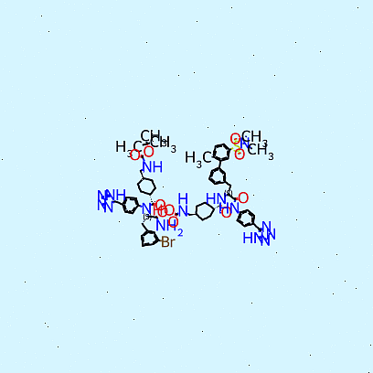 CC(C)(C)OC(=O)NC[C@H]1CC[C@H](C(=O)N(c2ccc(-c3nnn[nH]3)cc2)[C@@H](Cc2cccc(Br)c2)C(N)=O)CC1.Cc1ccc(S(=O)(=O)N(C)C)cc1-c1cccc(C[C@H](NC(=O)[C@H]2CC[C@H](CNC(=O)O)CC2)C(=O)Nc2ccc(-c3nnn[nH]3)cc2)c1